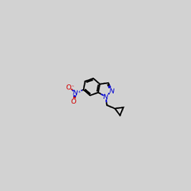 O=[N+]([O-])c1ccc2cnn(CC3CC3)c2c1